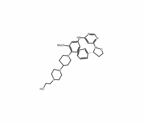 COc1cc(Nc2cc(N3OCC[C@@H]3c3ccccc3)ncn2)ccc1N1CCC(N2CCN(CCO)CC2)CC1